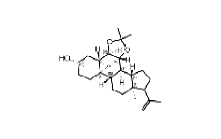 C=C(C)C1CC[C@H]2[C@@H]3[C@H]4OC(C)(C)O[C@@H]4[C@H]4C[C@@H](O)CC[C@]4(C)[C@H]3CC[C@]12C